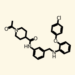 CC(=O)N1CCC(C(=O)Nc2cccc(CNc3ccccc3Oc3ccc(Cl)cc3)c2)CC1